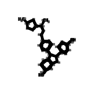 C[C@@H]1CCN([C@@H](C)COc2ccc(C3c4ccc(O)cc4CC3c3ccc(O)cc3)cc2)C1